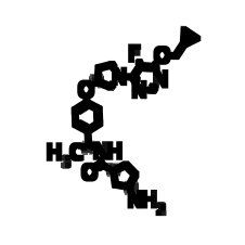 C[C@H](NC(=O)[C@H]1CC[C@@H](N)C1)c1ccc(O[C@@H]2CCN(c3ncnc(OCC4CC4)c3F)C2)cc1